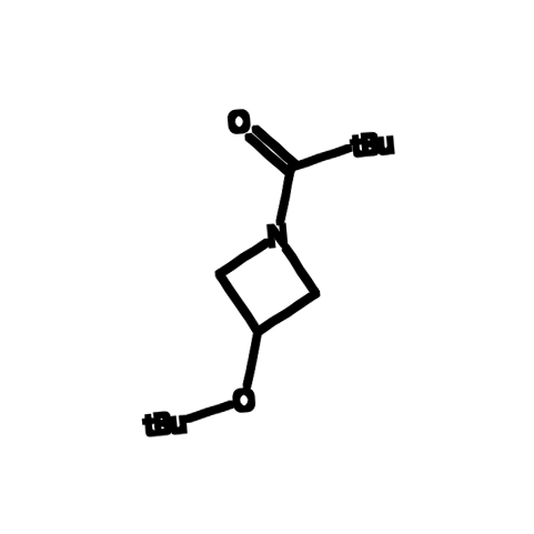 CC(C)(C)OC1CN(C(=O)C(C)(C)C)C1